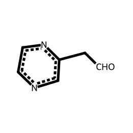 O=CCc1cnccn1